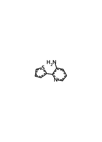 Nc1cccnc1-c1cccs1